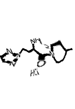 CC1CCN(C(=O)C(N)CCn2nccn2)CC1.Cl